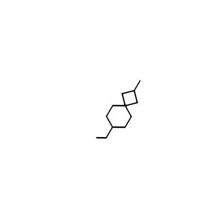 CC1CC2(CCC(CC(=O)O)CC2)C1